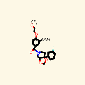 COc1cc(C(=O)N2CCC3(c4cccc(F)c4)OCOC3C2)ccc1OCCOC(F)(F)F